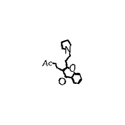 CC(=O)CCC1C(=O)c2ccccc2OC1CCN1CCCC1